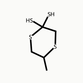 CC1CSC(S)(S)CS1